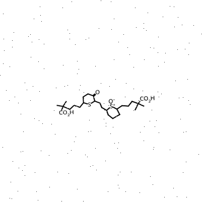 CC(C)(CCCC1CCC(=O)C(CCC2CCCC(CCCC(C)(C)C(=O)O)[S+]2[O-])S1)C(=O)O